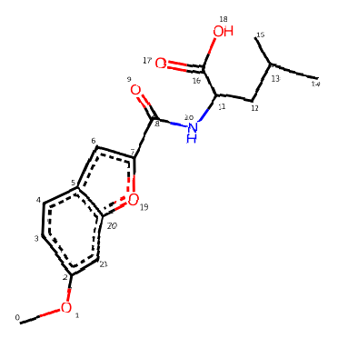 COc1ccc2cc(C(=O)NC(CC(C)C)C(=O)O)oc2c1